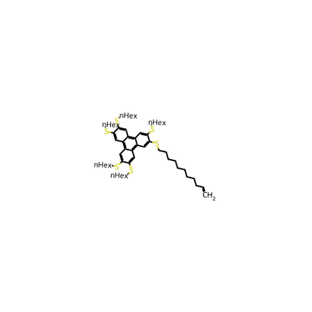 C=CCCCCCCCCCSc1cc2c3cc(SCCCCCC)c(SCCCCCC)cc3c3cc(SCCCCCC)c(SCCCCCC)cc3c2cc1SCCCCCC